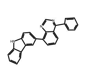 c1ccc(-c2ncnc3c(-c4ccc5[nH]c6ccccc6c5c4)cccc23)cc1